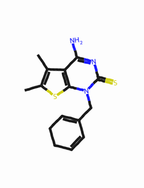 Cc1sc2c(c(N)nc(=S)n2CC2=CCCC=C2)c1C